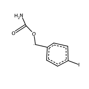 NC(=O)O[CH]c1ccc(I)cc1